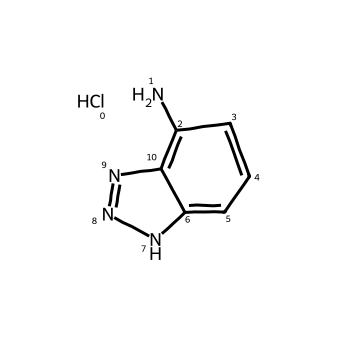 Cl.Nc1cccc2[nH]nnc12